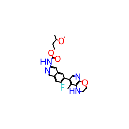 COC(C)CCOC(=O)Nc1cc2cc(-c3cnc4c(c3C)NCCO4)c(F)cc2cn1